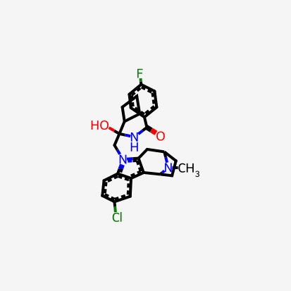 CN1C2CCC1c1c(n(CC(O)(NC(=O)c3ccc(F)cc3)C3CCC3)c3ccc(Cl)cc13)C2